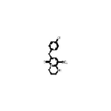 O=c1c(Cc2ccc(Cl)cc2)cc([N+](=O)[O-])c2n1CCCN2